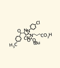 Cc1ccc(C(=O)c2nn(-c3ccc(Cl)cc3)c(N(CCCC(=O)O)C(=O)OC(C)(C)C)c2C#N)cc1